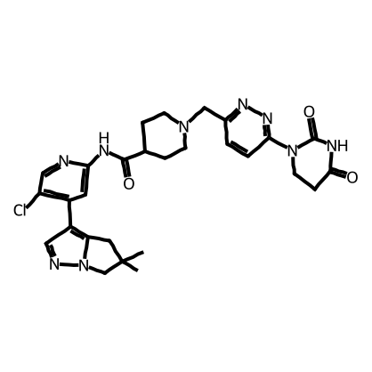 CC1(C)Cc2c(-c3cc(NC(=O)C4CCN(Cc5ccc(N6CCC(=O)NC6=O)nn5)CC4)ncc3Cl)cnn2C1